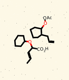 C=CCC1CCCCC1OOC(C)=O.CC=CC(OC1CCCCC1)C(=O)O